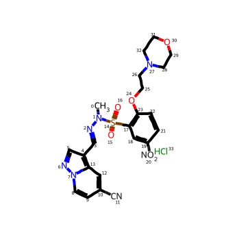 CN(N=Cc1cnn2ccc(C#N)cc12)S(=O)(=O)c1cc([N+](=O)[O-])ccc1OCCN1CCOCC1.Cl